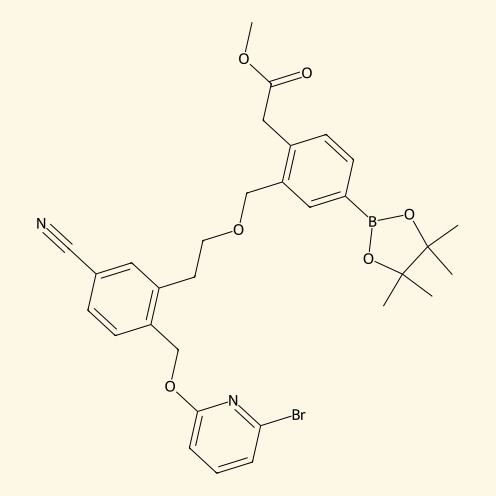 COC(=O)Cc1ccc(B2OC(C)(C)C(C)(C)O2)cc1COCCc1cc(C#N)ccc1COc1cccc(Br)n1